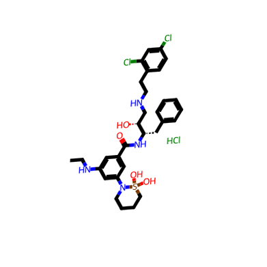 CCNc1cc(C(=O)N[C@@H](Cc2ccccc2)[C@H](O)CNCCc2ccc(Cl)cc2Cl)cc(N2CCCCS2(O)O)c1.Cl